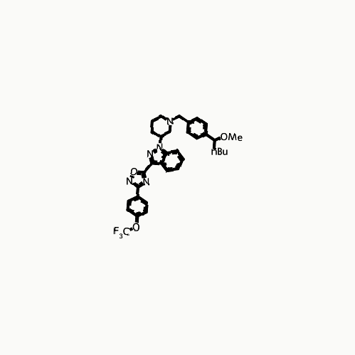 CCCCC(OC)c1ccc(CN2CCCC(n3nc(-c4nc(-c5ccc(OC(F)(F)F)cc5)no4)c4ccccc43)C2)cc1